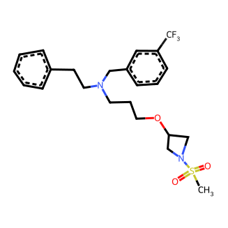 CS(=O)(=O)N1CC(OCCCN(CCc2ccccc2)Cc2cccc(C(F)(F)F)c2)C1